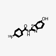 O=C(Nc1nc2ccc(O)cc2s1)c1ccc([18F])cc1